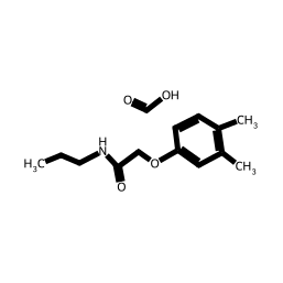 CCCNC(=O)COc1ccc(C)c(C)c1.O=CO